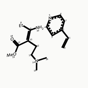 C=Cc1ccncc1.CCC(N)=C(CCN(C)C)C(=O)OC